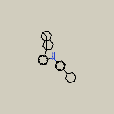 c1ccc(C23CCC4CCC(CC4C2)C3)c(Nc2ccc(C3CCCCC3)cc2)c1